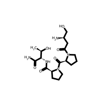 C[C@@H](O)[C@H](NC(=O)[C@@H]1CCCN1C(=O)[C@@H]1CCCN1C(=O)C[C@@H](N)CO)C(N)=O